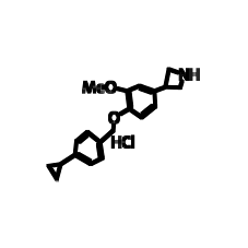 COc1cc(C2CNC2)ccc1OCc1ccc(C2CC2)cc1.Cl